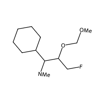 CNC(C1CCCCC1)C(CF)OCOC